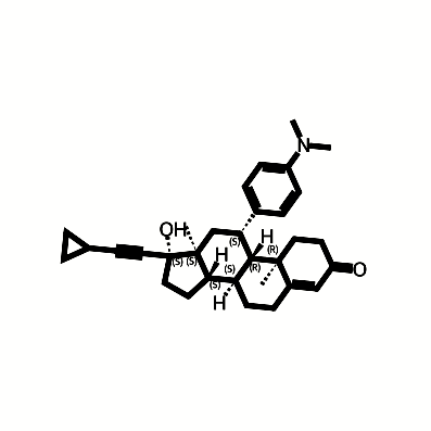 CN(C)c1ccc([C@H]2C[C@@]3(C)[C@@H](CC[C@@]3(O)C#CC3CC3)[C@@H]3CCC4=CC(=O)CC[C@]4(C)[C@H]32)cc1